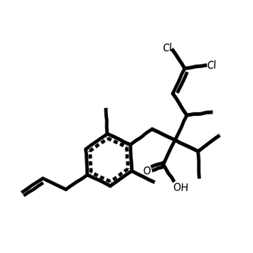 C=CCc1cc(C)c(CC(C(=O)O)(C(C)C)C(C)C=C(Cl)Cl)c(C)c1